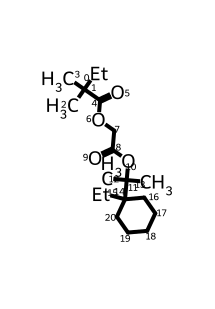 CCC(C)(C)C(=O)OCC(=O)OC(C)(C)C1(CC)CCCCC1